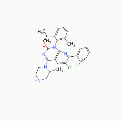 Cc1cccc(C(C)C)c1-n1c(=O)nc(N2CCNCC2C)c2cc(Cl)c(-c3ccccc3F)nc21